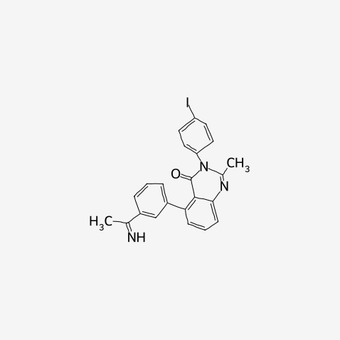 CC(=N)c1cccc(-c2cccc3nc(C)n(-c4ccc(I)cc4)c(=O)c23)c1